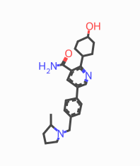 CC1CCCN1Cc1ccc(-c2cnc(C3CCC(O)CC3)c(C(N)=O)c2)cc1